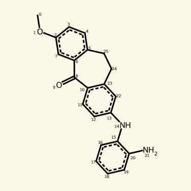 COc1ccc2c(c1)C(=O)c1ccc(Nc3ccccc3N)cc1CC2